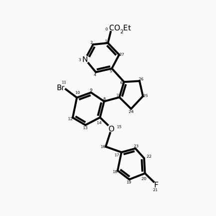 CCOC(=O)c1cncc(C2=C(c3cc(Br)ccc3OCc3ccc(F)cc3)CCC2)c1